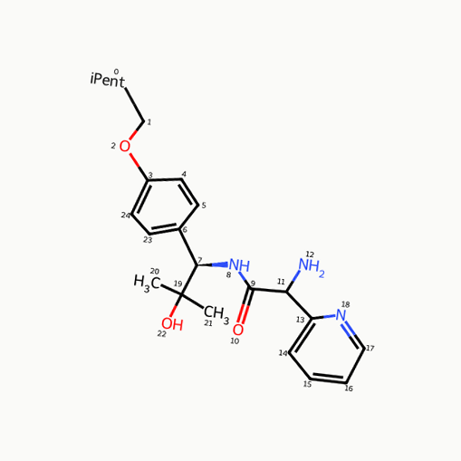 CCCC(C)COc1ccc([C@@H](NC(=O)C(N)c2ccccn2)C(C)(C)O)cc1